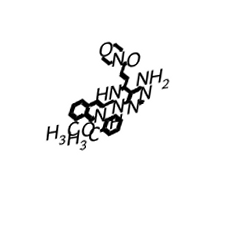 Cc1ccccc1-n1c(CNc2ncnc(N)c2C(=N)/C=C/C(=O)N2CCOCC2)cc2cccc(C)c2c1=O